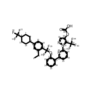 CCc1cc(C2CCC(C(F)(F)F)CC2)ccc1C(F)(F)Oc1ccccc1-c1cccc(-n2ncc(OC(=O)O)c2C(F)(F)F)n1